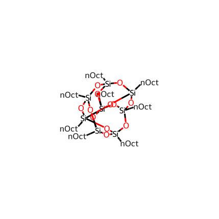 CCCCCCCC[Si]12O[Si]3(CCCCCCCC)O[Si]4(CCCCCCCC)O[Si](CCCCCCCC)(O1)O[Si]1(CCCCCCCC)O[Si](CCCCCCCC)(O2)O[Si](CCCCCCCC)(O3)O[Si](CCCCCCCC)(O4)O1